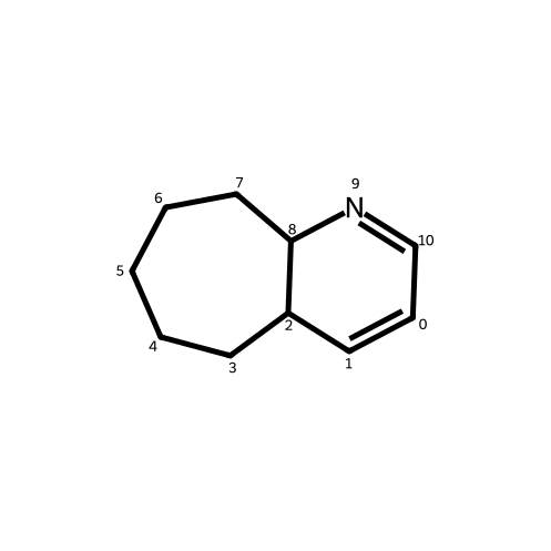 C1=CC2CCCCCC2N=C1